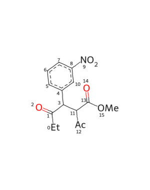 CCC(=O)C(c1cccc([N+](=O)[O-])c1)C(C(C)=O)C(=O)OC